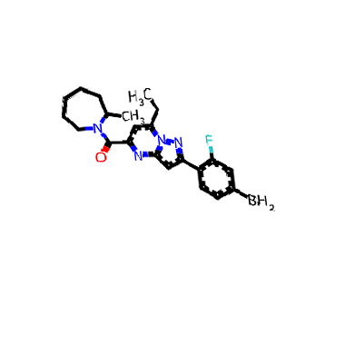 Bc1ccc(-c2cc3nc(C(=O)N4CCCCCC4C)cc(CC)n3n2)c(F)c1